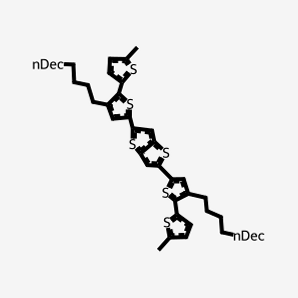 CCCCCCCCCCCCCCc1cc(-c2cc3sc(-c4cc(CCCCCCCCCCCCCC)c(-c5ccc(C)s5)s4)cc3s2)sc1-c1ccc(C)s1